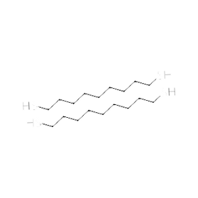 SCCCCCCCCCS.SCCCCCCCCCS